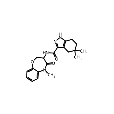 CN1C(=O)C(NC(=O)c2n[nH]c3c2CC(C)(C)CC3)COc2ccccc21